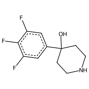 OC1(c2cc(F)c(F)c(F)c2)CCNCC1